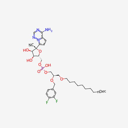 CCCCCCCCCCCCCCCCCCOC[C@H](COP(=O)(O)OC[C@H]1O[C@@](C#N)(c2ccc3c(N)ncnn23)[C@H](O)[C@@H]1O)OCc1ccc(F)c(F)c1